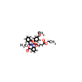 CCOC(=O)CCCOc1cccc(C(=O)OC)c1N(Cc1ccccc1)S(=O)(=O)c1ccc(OC)cc1